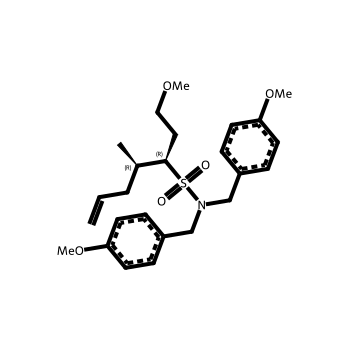 C=CC[C@@H](C)[C@@H](CCOC)S(=O)(=O)N(Cc1ccc(OC)cc1)Cc1ccc(OC)cc1